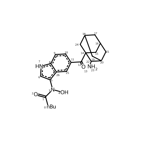 CCCCC(=O)N(O)c1c[nH]c2ccc(C(=O)C34CC5CC(CC(C5)C3N)C4)cc12